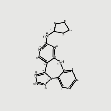 c1ccc2c(c1)Nc1nc(NC3CCCC3)ncc1-c1nnnn1-2